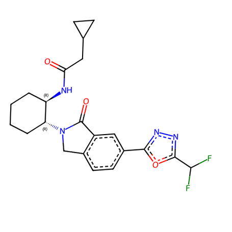 O=C(CC1CC1)N[C@@H]1CCCC[C@H]1N1Cc2ccc(-c3nnc(C(F)F)o3)cc2C1=O